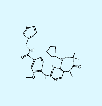 COc1cc(C(=O)NCc2cccnc2)ccc1Nc1ncc2c(n1)N(C1CCCC1)CC(C)(C)C(=O)N2C